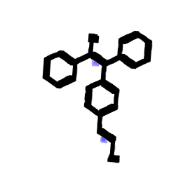 CC/C(=C(\c1ccccc1)c1ccc(/C=C/C(C)=O)cc1)c1ccccc1